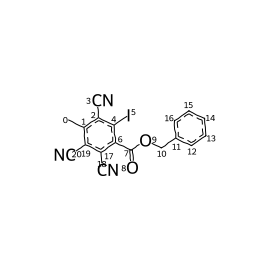 Cc1c(C#N)c(I)c(C(=O)OCc2ccccc2)c(C#N)c1C#N